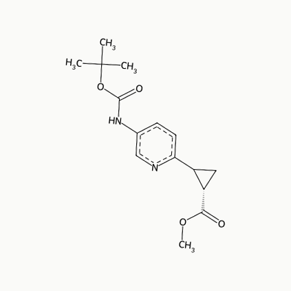 COC(=O)[C@H]1CC1c1ccc(NC(=O)OC(C)(C)C)cn1